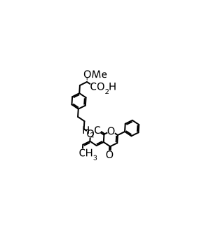 C=c1oc(-c2ccccc2)cc(=O)/c1=C/C(=C\C)OCCCc1ccc(C[C@H](OC)C(=O)O)cc1